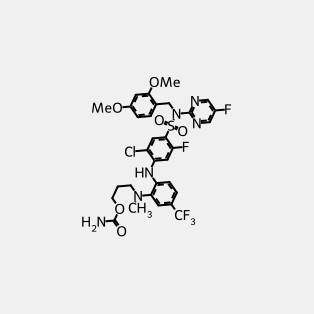 COc1ccc(CN(c2ncc(F)cn2)S(=O)(=O)c2cc(Cl)c(Nc3ccc(C(F)(F)F)cc3N(C)CCCOC(N)=O)cc2F)c(OC)c1